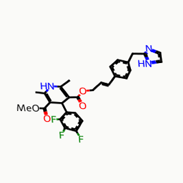 COC(=O)C1=C(C)NC(C)=C(C(=O)OCC=Cc2ccc(Cc3ncc[nH]3)cc2)C1c1ccc(F)c(F)c1F